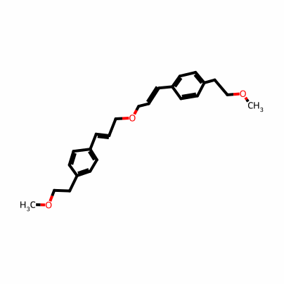 COCCc1ccc(C=CCOCC=Cc2ccc(CCOC)cc2)cc1